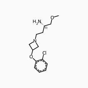 COC[C@@H](N)CCN1CC(Oc2ccccc2Cl)C1